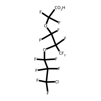 O=C(O)C(F)(F)OC(F)(F)C(F)(OC(F)(F)C(F)(F)C(F)(F)Cl)C(F)(F)F